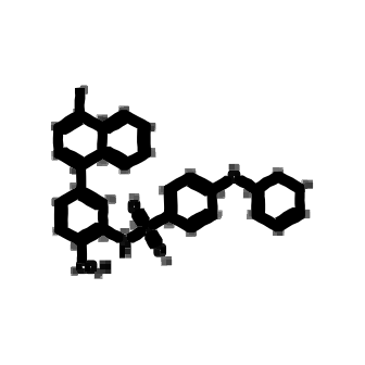 Cc1ccc(-c2ccc(C(=O)O)c(NS(=O)(=O)c3ccc(OC4=CC=CCC4)cc3)c2)c2ccccc12